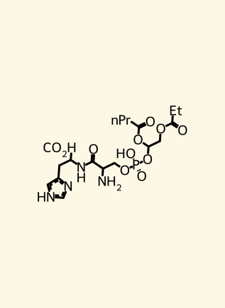 CCCC(=O)OC(COC(=O)CC)OP(=O)(O)OCC(N)C(=O)NC(Cc1c[nH]cn1)C(=O)O